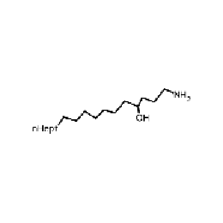 CCCCCCCCCCCCCCC(O)CCCN